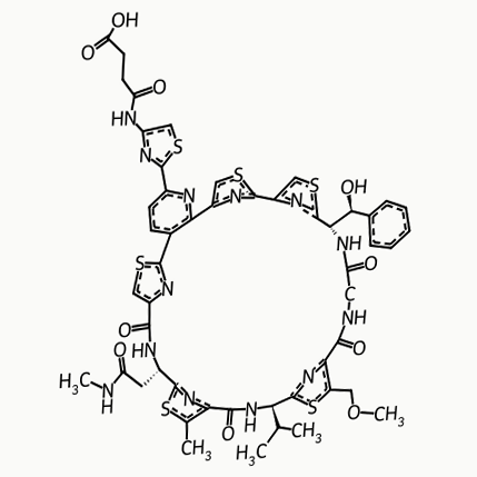 CNC(=O)C[C@@H]1NC(=O)c2csc(n2)-c2ccc(-c3nc(NC(=O)CCC(=O)O)cs3)nc2-c2csc(n2)-c2csc(n2)[C@H]([C@@H](O)c2ccccc2)NC(=O)CNC(=O)c2nc(sc2COC)[C@@H](C(C)C)NC(=O)c2nc1sc2C